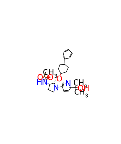 CC(C)(O)c1ccc(N2CC[C@H](NS(C)(=O)=O)[C@@H]2CO[C@H]2CC[C@@H](c3ccccc3)CC2)cn1